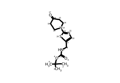 CC(C)(C)OC(=O)NCc1cnc(N2CCC(=O)CC2)s1